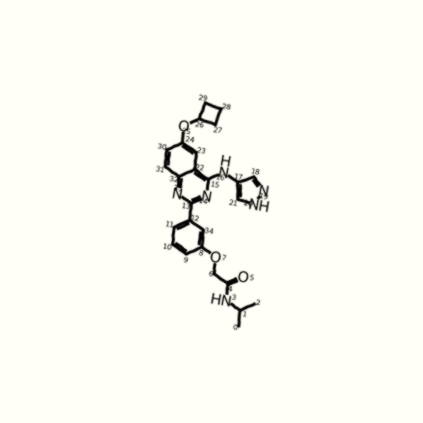 CC(C)NC(=O)COc1cccc(-c2nc(Nc3cn[nH]c3)c3cc(OC4CCC4)ccc3n2)c1